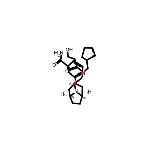 NC(=O)c1cccc([C@H]2C[C@H]3CC[C@@H](C2)N3CCN(CC2CCCC2)C(=O)CCO)c1